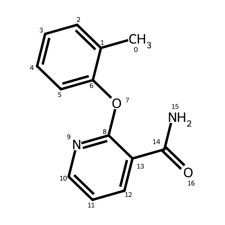 Cc1ccccc1Oc1ncccc1C(N)=O